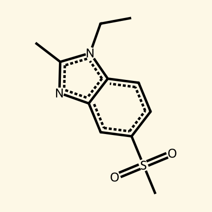 CCn1c(C)nc2cc(S(C)(=O)=O)ccc21